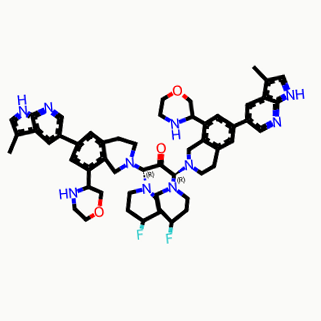 Cc1c[nH]c2ncc(-c3cc4c(c(C5COCCN5)c3)CN([C@H](C(=O)[C@H](N3CCC(F)CC3)N3CCc5cc(-c6cnc7[nH]cc(C)c7c6)cc(C6COCCN6)c5C3)N3CCC(F)CC3)CC4)cc12